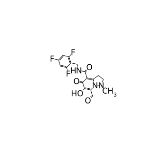 CN1CCc2c(C(=O)NCc3c(F)cc(F)cc3F)c(=O)c(O)c(C=O)n21